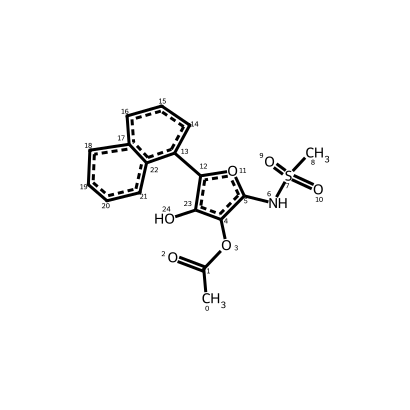 CC(=O)Oc1c(NS(C)(=O)=O)oc(-c2cccc3ccccc23)c1O